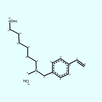 C=Cc1ccc(CN(C)CCCCCCCCCCCCCCCC)cc1.Cl